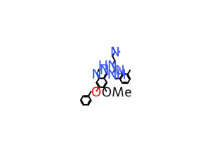 COc1cc2c(N/C(=N\c3c(C)cccc3C)NCCN(C)C)ncnc2cc1OCc1ccccc1